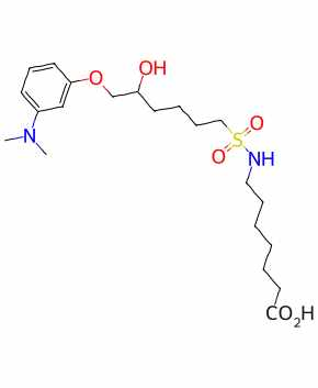 CN(C)c1cccc(OCC(O)CCCCS(=O)(=O)NCCCCCCC(=O)O)c1